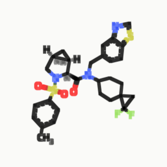 Cc1ccc(S(=O)(=O)N2C[C@H]3C[C@H]3[C@H]2C(=O)N(Cc2ccc3scnc3c2)C2CCC3(CC2)CC3(F)F)cc1